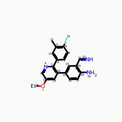 CCOc1cnc(-c2ccc(F)c(C)c2)c(-c2ccc(N)c(C=N)c2)c1